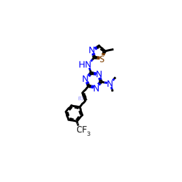 Cc1cnc(Nc2nc(/C=C/c3cccc(C(F)(F)F)c3)nc(N(C)C)n2)s1